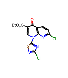 CCOC(=O)c1cn(-c2nc(Cl)ns2)c2nc(Cl)ccc2c1=O